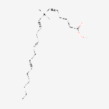 CCCCCC=CCC=CCC=CC(C)(C)/C=C\CCCC(=O)OC